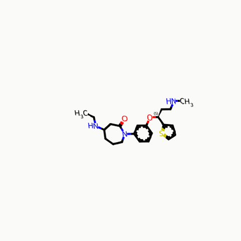 CCNC1CCCN(c2cccc(O[C@@H](CCNC)c3cccs3)c2)C(=O)C1